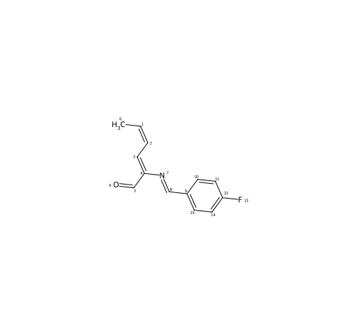 C\C=C/C=C(C=O)\N=C\c1ccc(F)cc1